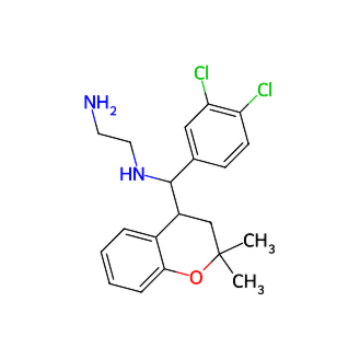 CC1(C)CC(C(NCCN)c2ccc(Cl)c(Cl)c2)c2ccccc2O1